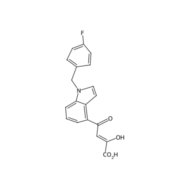 O=C(O)C(O)=CC(=O)c1cccc2c1ccn2Cc1ccc(F)cc1